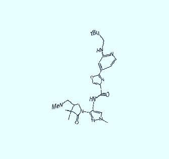 CNCC1CN(c2nn(C)cc2NC(=O)c2coc(-c3ccnc(NCC(C)(C)C)c3)n2)C(=O)C1(C)C